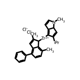 CC1=Cc2c(-c3ccccc3)ccc(C)c2[CH]1[Zr+2][C]1=C2C=CN(C)C2C=C1C(C)C.[Cl-].[Cl-]